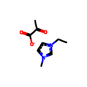 CC(=O)C(=O)[O-].CCn1cc[n+](C)c1